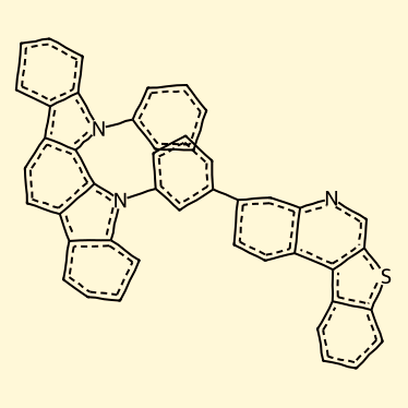 c1ccc(-n2c3ccccc3c3ccc4c5ccccc5n(-c5cccc(-c6ccc7c(c6)ncc6sc8ccccc8c67)c5)c4c32)cc1